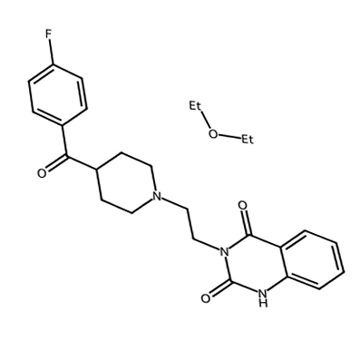 CCOCC.O=C(c1ccc(F)cc1)C1CCN(CCn2c(=O)[nH]c3ccccc3c2=O)CC1